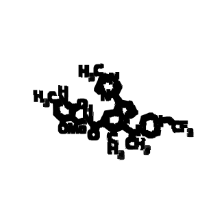 COc1cc(C)[nH]c(=O)c1CNC(=O)c1cc2c(-c3cnc(C)cn3)ccn2c(C(C)N2CCN(CC(F)(F)F)CC2)c1C